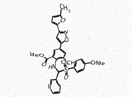 COC(=O)c1cc(-c2cc(-c3ccc(C)o3)no2)cc(C)c1NC(c1cccnc1)S(=O)(=O)c1ccc(OC)cc1